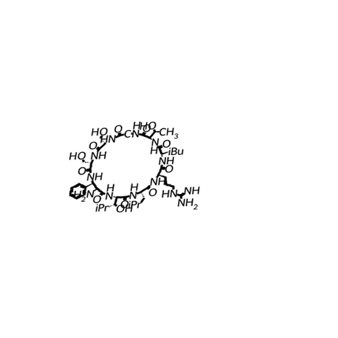 CC[C@H](C)[C@@H]1NC(=O)[C@@H](CCCNC(=N)N)NC(=O)[C@H](CC(C)C)NC(=O)[C@H]([C@H](O)C(C)C)NC(=O)[C@@H](N)[C@@H](c2ccccc2)NC(=O)[C@H](CO)NC(=O)[C@H](CO)NC(=O)CNC(=O)[C@H]([C@H](C)O)NC1=O